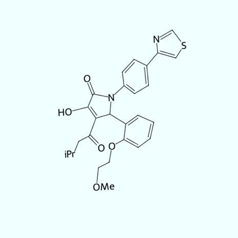 COCCOc1ccccc1C1C(C(=O)CC(C)C)=C(O)C(=O)N1c1ccc(-c2cscn2)cc1